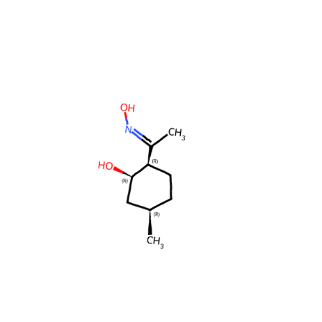 CC(=NO)[C@H]1CC[C@@H](C)C[C@H]1O